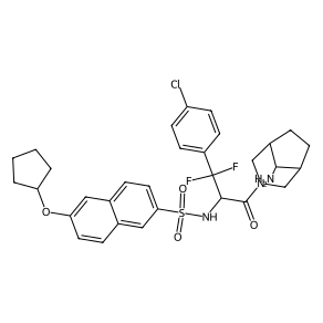 NC1C2CCC1CN(C(=O)C(NS(=O)(=O)c1ccc3cc(OC4CCCC4)ccc3c1)C(F)(F)c1ccc(Cl)cc1)C2